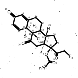 CCCC(=O)O[C@]1(C(=O)CF)CC[C@H]2[C@@H]3CCC4=CC(=O)C=C[C@]4(C)[C@@]3(Cl)C(=O)C[C@@]21C